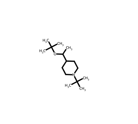 CC(OC(C)(C)C)C1CCN(C(C)(C)C)CC1